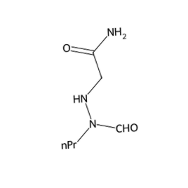 CCCN(C=O)NCC(N)=O